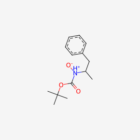 CC(Cc1ccccc1)[NH+]([O-])C(=O)OC(C)(C)C